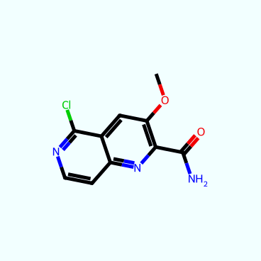 COc1cc2c(Cl)nccc2nc1C(N)=O